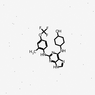 Cc1cc(OC(F)(F)F)ccc1Nc1nc(NC2CCC(O)CC2)c2nc[nH]c2n1